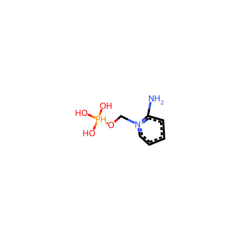 Nc1cccc[n+]1CO[PH](O)(O)O